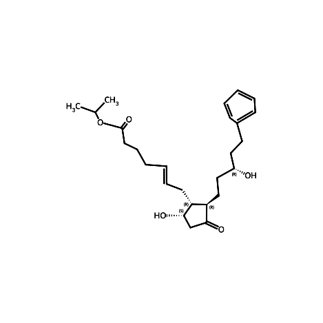 CC(C)OC(=O)CCCC=CC[C@H]1[C@@H](O)CC(=O)[C@@H]1CC[C@@H](O)CCc1ccccc1